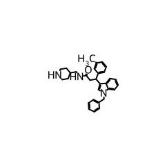 Cc1cccc(C(CC(=O)NCC2CCNCC2)c2cn(Cc3ccccc3)c3ccccc23)c1